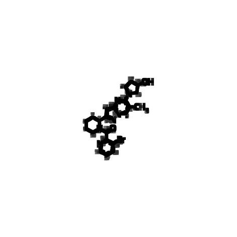 Cc1cn2nc([C@@H]3CCCCN3C(=O)c3ncccc3Br)cc2nc1N1CC[C@@H](O)C1